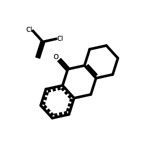 C=C(Cl)Cl.O=C1C2=C(CCCC2)Cc2ccccc21